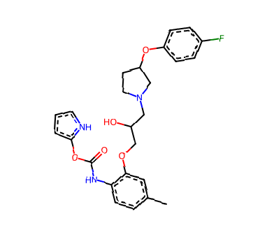 Cc1ccc(NC(=O)Oc2ccc[nH]2)c(OCC(O)CN2CCC(Oc3ccc(F)cc3)C2)c1